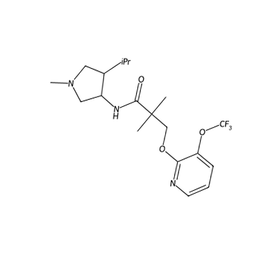 CC(C)C1CN(C)CC1NC(=O)C(C)(C)COc1ncccc1OC(F)(F)F